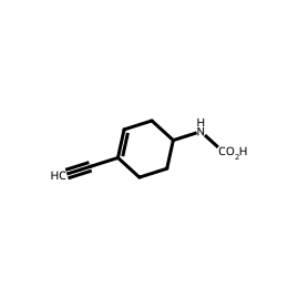 C#CC1=CCC(NC(=O)O)CC1